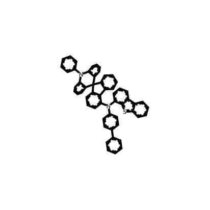 c1ccc(-c2ccc(N(c3cccc4c3-c3ccccc3C43c4ccccc4N(c4ccccc4)c4ccccc43)c3cccc4c3sc3ccccc34)cc2)cc1